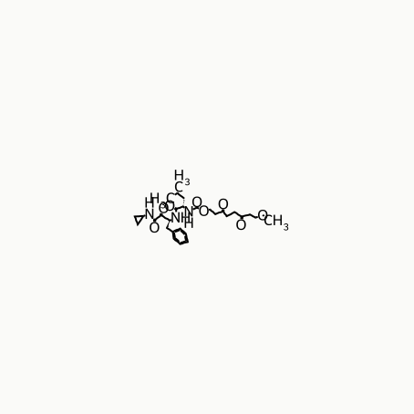 COCCC(=O)CCC(=O)CCOC(=O)N[C@@H](CC(C)C)C(=O)N[C@@H](Cc1ccccc1)C(=O)C(=O)NC1CC1